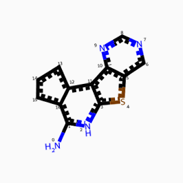 Nc1[nH]c2sc3cncnc3c2c2cccc1-2